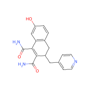 NC(=O)C1=C(C(N)=O)C(Cc2ccncc2)Cc2ccc(O)cc21